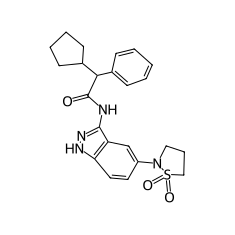 O=C(Nc1n[nH]c2ccc(N3CCCS3(=O)=O)cc12)C(c1ccccc1)C1CCCC1